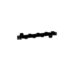 CCC(=O)CCOCCOCCOCCOCCOCCOCCC(=O)C(C)CC